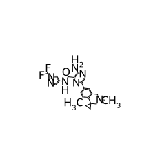 Cc1cc(-c2cnc(N)c(C(=O)Nc3cnn(C(F)F)c3)n2)cc2c1C1(CC1)CN(C)C2